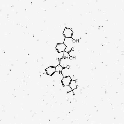 O=C1C(=NNC2(C(=O)O)C=CC=C(c3ccccc3O)C2)c2ccccc2N1c1ccc(C(F)(F)F)c(F)c1